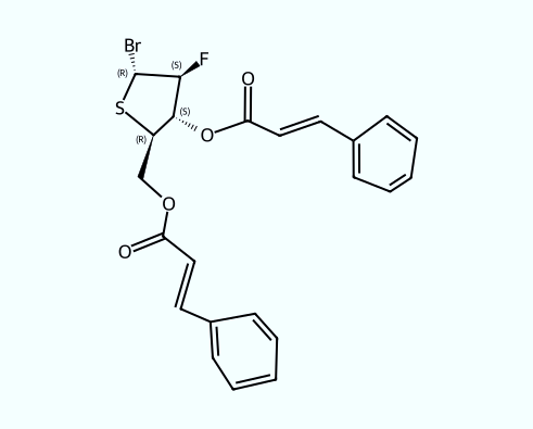 O=C(C=Cc1ccccc1)OC[C@H]1S[C@H](Br)[C@@H](F)[C@@H]1OC(=O)C=Cc1ccccc1